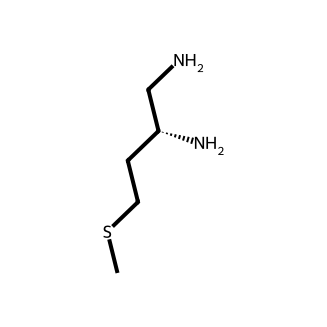 CSCC[C@@H](N)CN